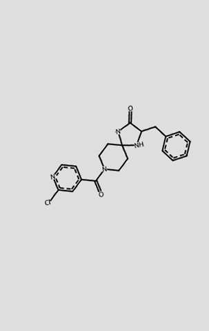 O=C1[N]C2(CCN(C(=O)c3ccnc(Cl)c3)CC2)NC1Cc1ccccc1